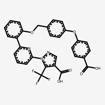 O=C(O)c1ccc(Oc2ccc(COc3ccccc3-c3cccc(-n4ncc(C(=O)O)c4C(F)(F)F)n3)cc2)cc1